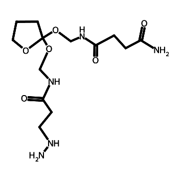 NNCCC(=O)NCOC1(OCNC(=O)CCC(N)=O)CCCO1